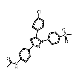 CC(=O)Nc1ccc(-c2cc(-c3ccc(Cl)cc3)n(-c3ccc(S(C)(=O)=O)cc3)n2)cc1